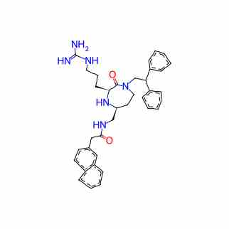 N=C(N)NCCC[C@@H]1N[C@H](CNC(=O)Cc2ccc3ccccc3c2)CCN(CC(c2ccccc2)c2ccccc2)C1=O